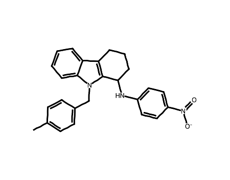 Cc1ccc(Cn2c3c(c4ccccc42)CCCC3Nc2ccc([N+](=O)[O-])cc2)cc1